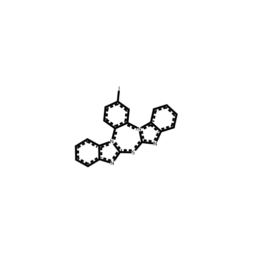 Ic1ccc2c(c1)n1c(nc3ccccc31)sc1nc3ccccc3n12